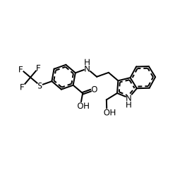 O=C(O)c1cc(SC(F)(F)F)ccc1NCCc1c(CO)[nH]c2ccccc12